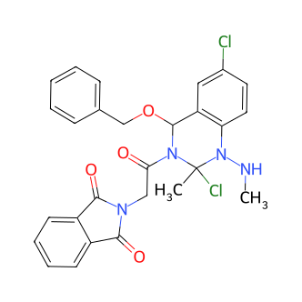 CNN1c2ccc(Cl)cc2C(OCc2ccccc2)N(C(=O)CN2C(=O)c3ccccc3C2=O)C1(C)Cl